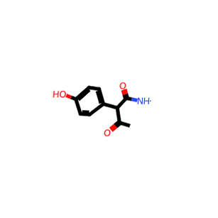 CC(=O)C(C([NH])=O)c1ccc(O)cc1